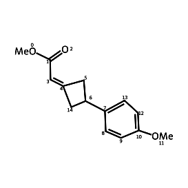 COC(=O)C=C1CC(c2ccc(OC)cc2)C1